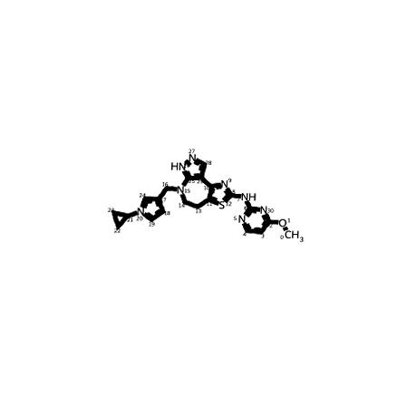 COc1ccnc(Nc2nc3c(s2)CCN(Cc2ccn(C4CC4)c2)c2[nH]ncc2-3)n1